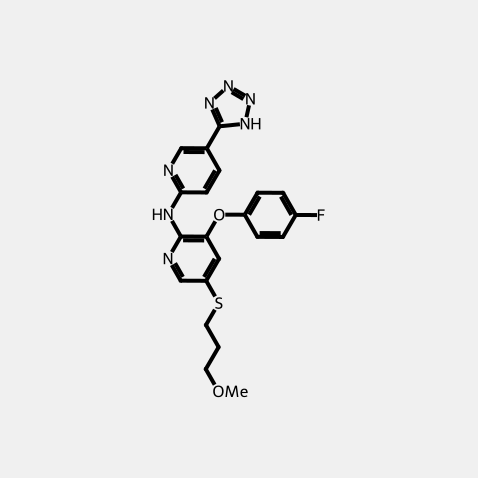 COCCCSc1cnc(Nc2ccc(-c3nnn[nH]3)cn2)c(Oc2ccc(F)cc2)c1